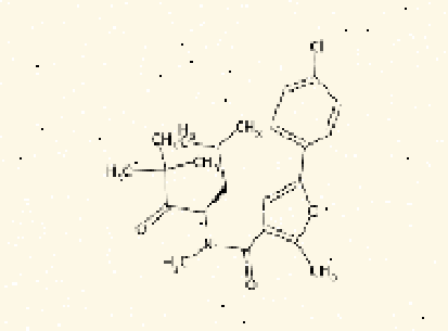 Cc1oc(-c2ccc(Cl)cc2)cc1C(=O)N(C)[C@H](CC(C)C)C(=O)C(C)(C)C